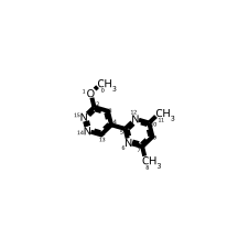 COc1cc(-c2nc(C)cc(C)n2)[c]nn1